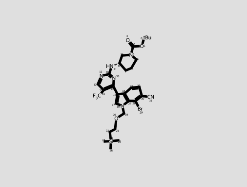 CC(C)(C)OC(=O)N1CCC[C@H](Nc2ncc(C(F)(F)F)c(-c3cn(COCC[Si](C)(C)C)c4c(Br)c(C#N)ccc34)n2)C1